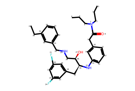 CCCN(CCC)C(=O)Cc1cccc(N[C@@H](Cc2cc(F)cc(F)c2)[C@H](O)CNCc2cccc(CC)c2)c1